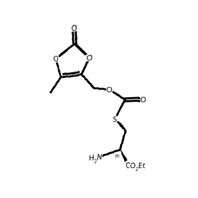 CCOC(=O)[C@@H](N)CSC(=O)OCc1oc(=O)oc1C